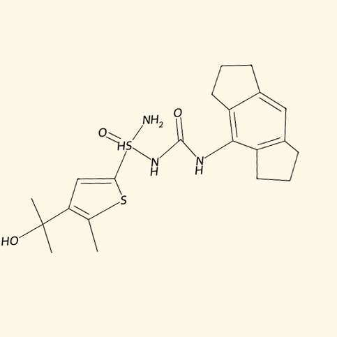 Cc1sc([SH](N)(=O)NC(=O)Nc2c3c(cc4c2CCC4)CCC3)cc1C(C)(C)O